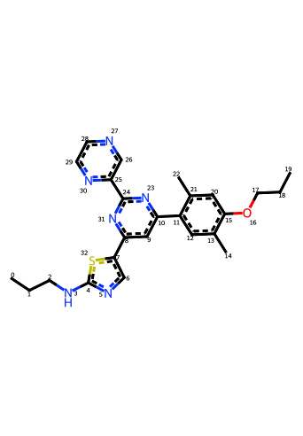 CCCNc1ncc(-c2cc(-c3cc(C)c(OCCC)cc3C)nc(-c3cnccn3)n2)s1